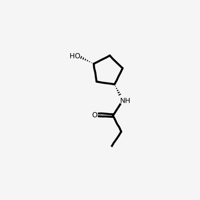 CCC(=O)N[C@H]1CC[C@@H](O)C1